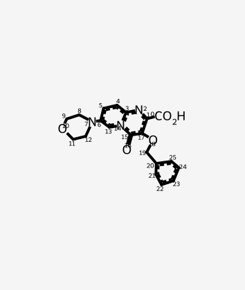 O=C(O)c1nc2ccc(N3CCOCC3)cn2c(=O)c1OCc1ccccc1